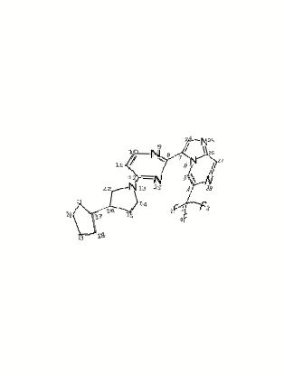 FC(F)(F)c1cn2c(-c3nccc(N4CCC(C5CCCC5)C4)n3)cnc2cn1